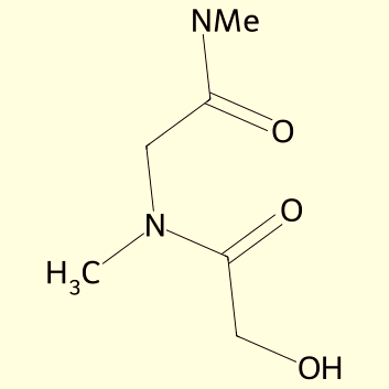 CNC(=O)CN(C)C(=O)CO